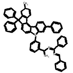 CC1C=CC2=C(C1)C(c1ccccc1)(c1ccccc1)c1ccc3c(c12)c1ccc(-c2ccccc2)cc1n3-c1cccc(C(N)/N=C(\N=C\c2ccccc2)c2ccccc2)c1